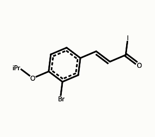 CC(C)Oc1ccc(/C=C/C(=O)I)cc1Br